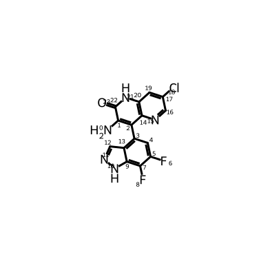 Nc1c(-c2cc(F)c(F)c3[nH]ncc23)c2ncc(Cl)cc2[nH]c1=O